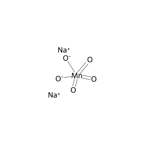 [Na+].[Na+].[O]=[Mn](=[O])(=[O])([O-])[O-]